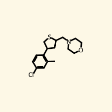 Cc1cc(Cl)ccc1C1CSC(CN2CCOCC2)C1